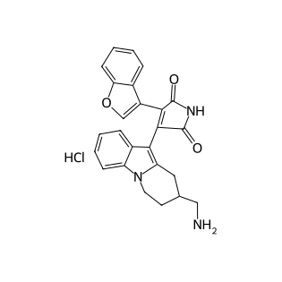 Cl.NCC1CCn2c(c(C3=C(c4coc5ccccc45)C(=O)NC3=O)c3ccccc32)C1